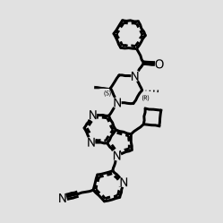 C[C@@H]1CN(c2ncnc3c2c(C2CCC2)cn3-c2cc(C#N)ccn2)[C@@H](C)CN1C(=O)c1ccccc1